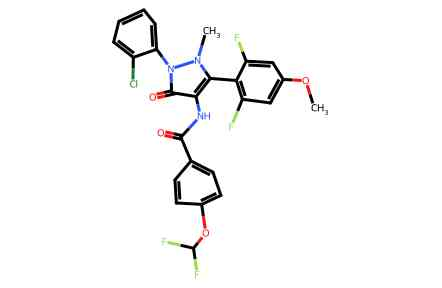 COc1cc(F)c(-c2c(NC(=O)c3ccc(OC(F)F)cc3)c(=O)n(-c3ccccc3Cl)n2C)c(F)c1